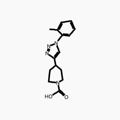 Cc1ccccc1-n1cc(C2CCN(C(=O)O)CC2)nn1